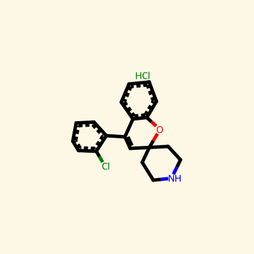 Cl.Clc1ccccc1C1=CC2(CCNCC2)Oc2ccccc21